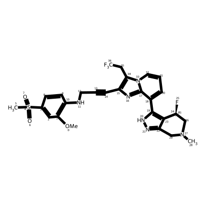 COc1cc(S(C)(=O)=O)ccc1NCC#Cc1nc2c(-c3[nH]nc4c3[C@@H](F)CN(C)C4)cccn2c1CC(F)(F)F